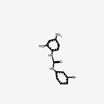 O=C(Nc1cccc(Br)c1)Nc1ccc([N+](=O)[O-])cc1O